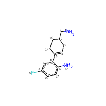 NCC1CC=C(c2cc(F)ccc2N)CC1